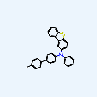 Cc1ccc(-c2ccc(N(c3ccccc3)c3ccc4sc5ccccc5c4c3)cc2)cc1